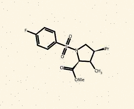 COC(=O)[C@@H]1C(C)[C@H](C(C)C)CN1S(=O)(=O)c1ccc(F)cc1